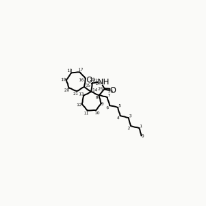 CCCCCCCCC12CCCCCC1(C1CCCCCC1)C(=O)NC2=O